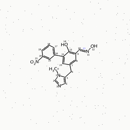 Cn1cncc1Cc1cc(/C=N/O)c(O)c(-c2cccc([N+](=O)[O-])c2)c1